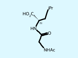 CC(=O)NCC(=O)N[C@@H](CC(C)C)C(=O)O